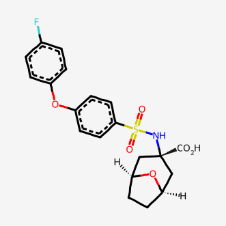 O=C(O)[C@@]1(NS(=O)(=O)c2ccc(Oc3ccc(F)cc3)cc2)C[C@H]2CC[C@@H](C1)O2